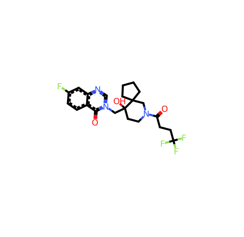 O=C(CCC(F)(F)F)N1CCC(O)(Cn2cnc3cc(F)ccc3c2=O)C2(CCCC2)C1